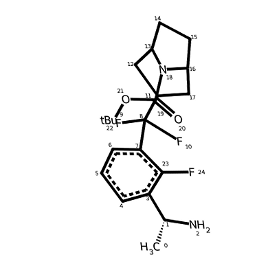 C[C@@H](N)c1cccc(C(F)(F)C2CC3CCC(C2)N3C(=O)OC(C)(C)C)c1F